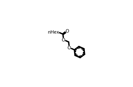 CCCCCCC(=O)OCOc1ccccc1